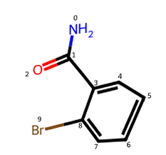 NC(=O)c1c[c]ccc1Br